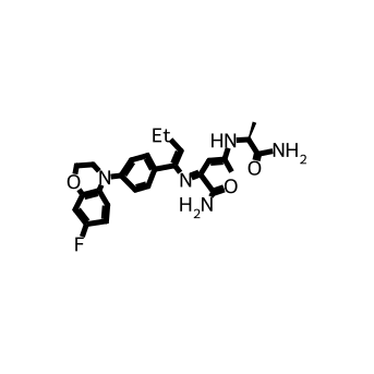 CC/C=C(/N=C(\C=C(/C)N[C@@H](C)C(N)=O)C(N)=O)c1ccc(N2CCOc3cc(F)ccc32)cc1